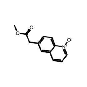 COC(=O)Cc1ccc2c(ccc[n+]2[O-])c1